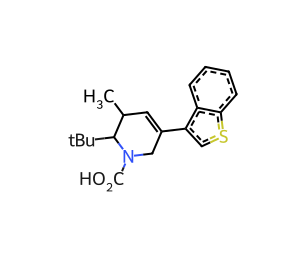 CC1C=C(c2csc3ccccc23)CN(C(=O)O)C1C(C)(C)C